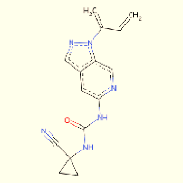 C=CC(=C)n1ncc2cc(NC(=O)NC3(C#N)CC3)ncc21